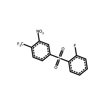 O=[N+]([O-])c1cc(S(=O)(=O)c2ccccc2F)ccc1C(F)(F)F